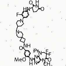 COc1cc(C(=O)NC2CC3(CCN(CC4CCN(c5ccc(NC6CCC(=O)NC6=O)cc5F)CC4)CC3)C2)ccc1Nc1ncc2c(n1)N(C(C)C)CC(F)(F)C(=O)N2C